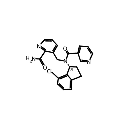 NC(=O)c1ncccc1CN(C(=O)c1cccnc1)[C@@H]1CCc2cccc(Cl)c21